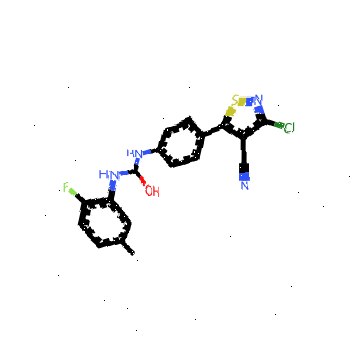 Cc1ccc(F)c(NC(O)Nc2ccc(-c3snc(Cl)c3C#N)cc2)c1